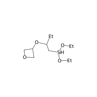 CCO[SiH](CC(CC)OC1COC1)OCC